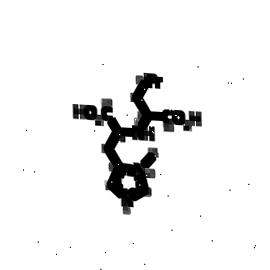 CC(C)CC(NC(Cc1cncn1C)C(=O)O)C(=O)O